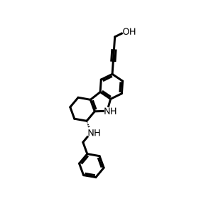 OCC#Cc1ccc2[nH]c3c(c2c1)CCC[C@H]3NCc1ccccc1